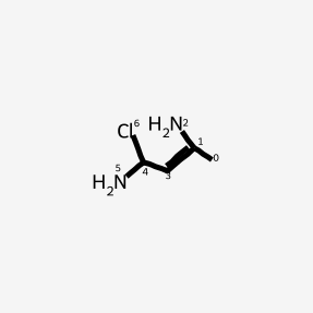 C/C(N)=C/C(N)Cl